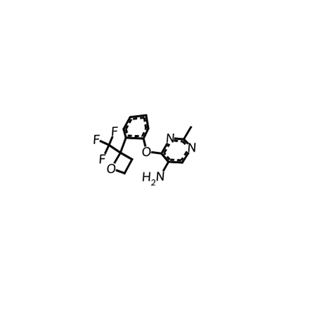 Cc1ncc(N)c(Oc2ccccc2C2(C(F)(F)F)CCO2)n1